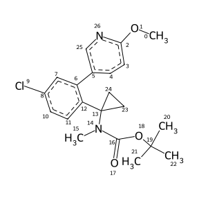 COc1ccc(-c2cc(Cl)ccc2C2(N(C)C(=O)OC(C)(C)C)CC2)cn1